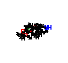 [2H]c1c([2H])c(C2([2H])CCNC[C@]2([2H])COc2ccc3c(c2)OC([2H])([2H])O3)c([2H])c([2H])c1F